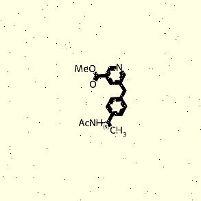 COC(=O)c1cncc(Cc2ccc([C@H](C)NC(C)=O)cc2)c1